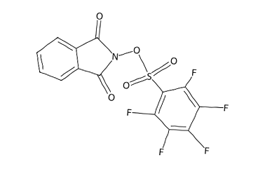 O=C1c2ccccc2C(=O)N1OS(=O)(=O)c1c(F)c(F)c(F)c(F)c1F